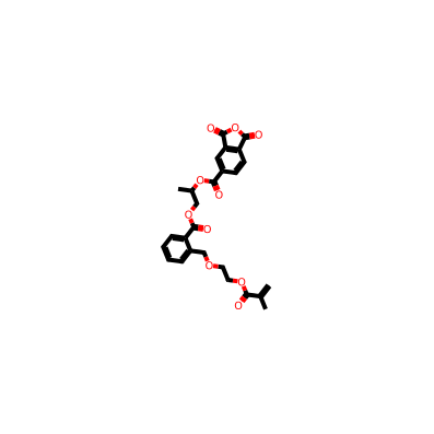 C=C(C)C(=O)OCCOCc1ccccc1C(=O)OCC(C)OC(=O)c1ccc2c(c1)C(=O)OC2=O